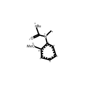 CCCCC(=O)N(C)c1ccccc1OC